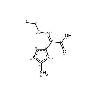 CCO/N=C(/C(=O)O)c1csc(N)n1